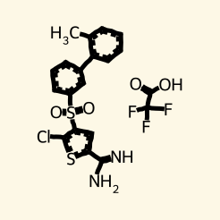 Cc1ccccc1-c1cccc(S(=O)(=O)c2cc(C(=N)N)sc2Cl)c1.O=C(O)C(F)(F)F